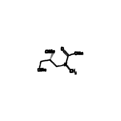 COC[C@@H](CN(C)C(=O)OC)OC